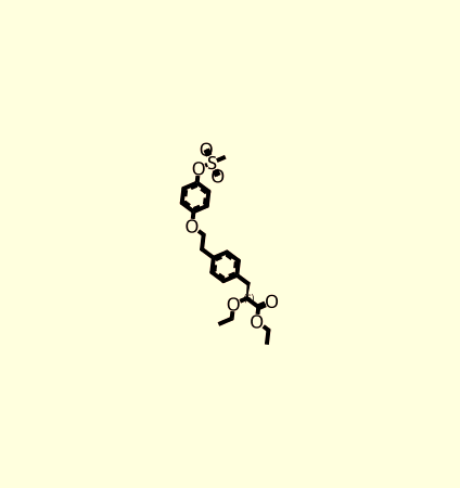 CCOC(=O)[C@H](Cc1ccc(CCOc2ccc(OS(C)(=O)=O)cc2)cc1)OCC